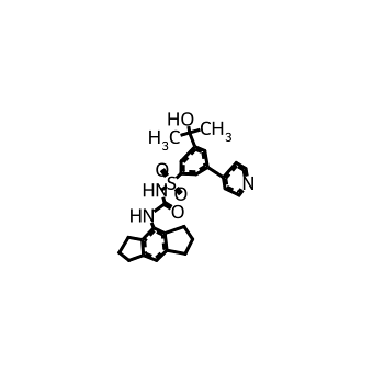 CC(C)(O)c1cc(-c2ccncc2)cc(S(=O)(=O)NC(=O)Nc2c3c(cc4c2CCC4)CCC3)c1